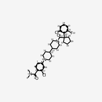 CN(C)C(=O)c1ccc(N2CCC(C3CCN(C(=O)C4(c5c(F)cccc5Cl)CCCC4)CC3)CC2)cc1Cl